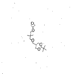 CC(C)(COCC1COC(C(C)(C)C)OC1)COC1COC1